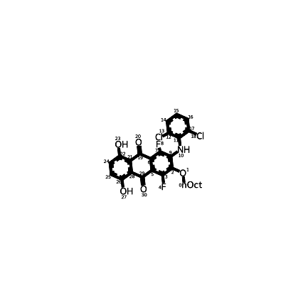 CCCCCCCCOc1c(F)c2c(c(F)c1Nc1c(Cl)cccc1Cl)C(=O)c1c(O)ccc(O)c1C2=O